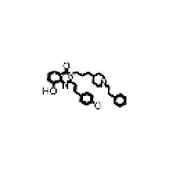 O=c1c2cccc(O)c2nc(C=Cc2ccc(Cl)cc2)n1CCCC1CCN(CCc2ccccc2)CC1